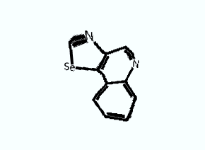 c1ccc2c(c1)ncc1nc[se]c12